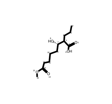 CCCC(C(=O)O)[C@@H](O)CCCCC(=O)OC